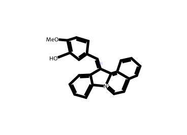 COc1ccc(/C=C2\c3ccccc3-[n+]3ccc4ccccc4c32)cc1O